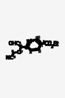 CCOC(=O)c1ccc(C(C=O)OCC#N)nc1